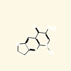 CCn1cc(C(=O)O)c(=O)c2cc3c(nc21)CCO3